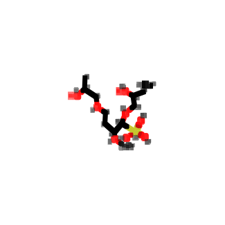 CCCOC(CCOCC(C)O)C(OCC(C)O)S(=O)(=O)[O-].[Na+]